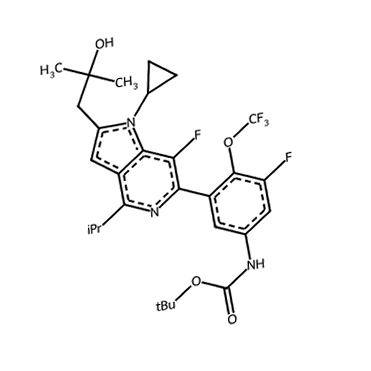 CC(C)c1nc(-c2cc(NC(=O)OC(C)(C)C)cc(F)c2OC(F)(F)F)c(F)c2c1cc(CC(C)(C)O)n2C1CC1